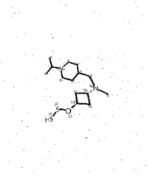 CC(C)N1CCC(CN(C)[C@H]2C[C@H](OSS)C2)CC1